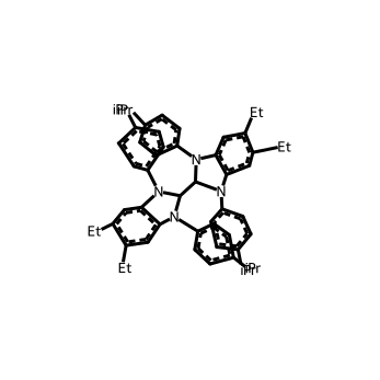 CCc1cc2c(cc1CC)N(c1ccc(C(C)C)cc1)C(C1N(c3ccc(C(C)C)cc3)c3cc(CC)c(CC)cc3N1c1ccc(C(C)C)cc1)N2c1ccc(C(C)C)cc1